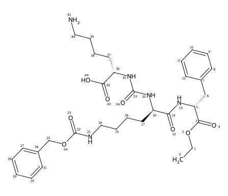 CCOC(=O)[C@@H](Cc1ccccc1)NC(=O)[C@@H](CCCCNC(=O)OCc1ccccc1)NC(=O)N[C@@H](CCCCN)C(=O)O